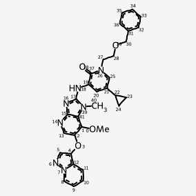 COc1c(Oc2cnn3ccccc23)cnc2nc(Nc3cc(C4CC4)cn(CCOCc4ccccc4)c3=O)n(C)c12